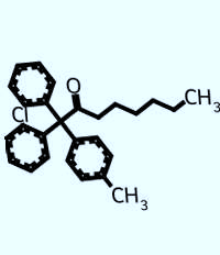 CCCCCCC(=O)C(c1ccccc1)(c1ccc(C)cc1)c1ccccc1Cl